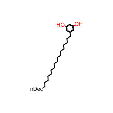 CCCCCCCCCCCCCCCCCCCCCCCCCCCc1cc(O)cc(O)c1